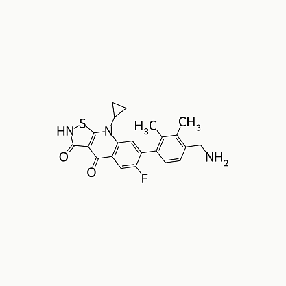 Cc1c(CN)ccc(-c2cc3c(cc2F)c(=O)c2c(=O)[nH]sc2n3C2CC2)c1C